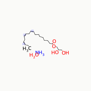 CC/C=C\C/C=C\C/C=C\CCCCCCCC(=O)OCC(O)CO.N.O